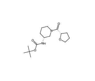 CC(C)(C)OC(=O)N[C@@H]1CCCN(C(=O)[C@@H]2CCCO2)C1